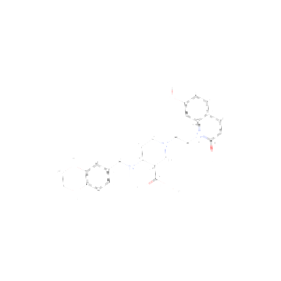 COc1ccc2ccc(=O)n(CCN3CCC(NCc4ccc5c(c4)OCCO5)C(C(=O)O)C3)c2c1.Cl